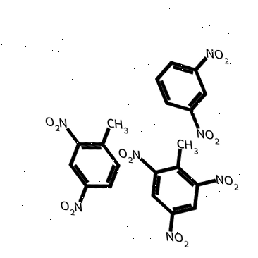 Cc1c([N+](=O)[O-])cc([N+](=O)[O-])cc1[N+](=O)[O-].Cc1ccc([N+](=O)[O-])cc1[N+](=O)[O-].O=[N+]([O-])c1cccc([N+](=O)[O-])c1